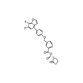 O=C(OC(=O)[C@@H]1CCCN1)c1cccc(COc2ccc(-c3cc(F)c(F)c4occc34)cc2)c1